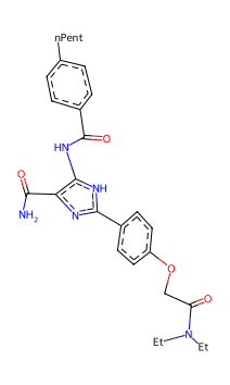 CCCCCc1ccc(C(=O)Nc2[nH]c(-c3ccc(OCC(=O)N(CC)CC)cc3)nc2C(N)=O)cc1